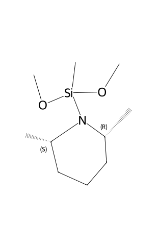 CO[Si](C)(OC)N1[C@H](C)CCC[C@@H]1C